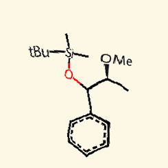 CO[C@@H](C)C(O[Si](C)(C)C(C)(C)C)c1ccccc1